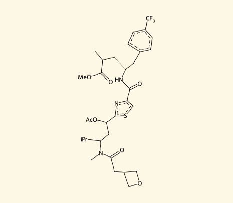 COC(=O)C(C)C[C@H](Cc1ccc(C(F)(F)F)cc1)NC(=O)c1csc(C(CC(C(C)C)N(C)C(=O)CC2COC2)OC(C)=O)n1